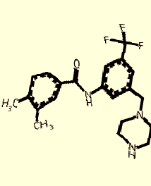 Cc1ccc(C(=O)Nc2cc(CN3CCNCC3)cc(C(F)(F)F)c2)cc1C